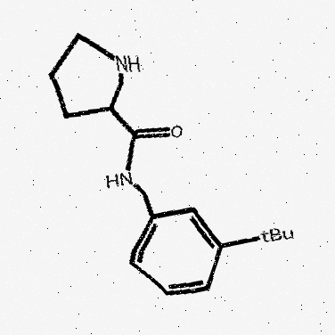 CC(C)(C)c1cccc(NC(=O)C2CCCN2)c1